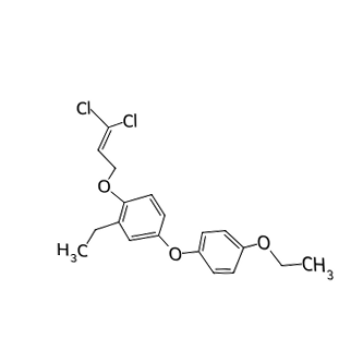 CCOc1ccc(Oc2ccc(OCC=C(Cl)Cl)c(CC)c2)cc1